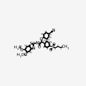 CCCCS(=O)(=O)c1ccc(C(Oc2ccc(C#N)cc2)C(=O)Nc2nc3cc(OC)c(OC)cc3s2)cc1